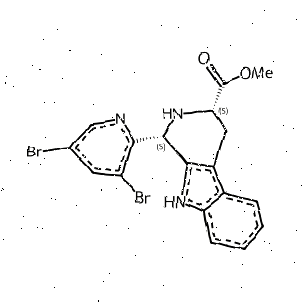 COC(=O)[C@@H]1Cc2c([nH]c3ccccc23)[C@H](c2ncc(Br)cc2Br)N1